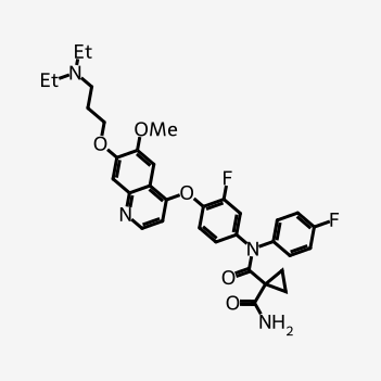 CCN(CC)CCCOc1cc2nccc(Oc3ccc(N(C(=O)C4(C(N)=O)CC4)c4ccc(F)cc4)cc3F)c2cc1OC